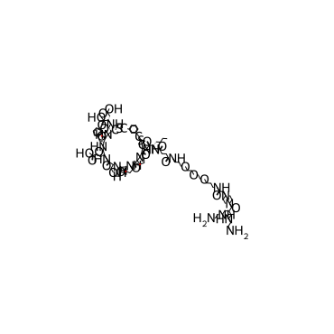 CCCC[C@H](NC(=O)CCC(=O)NCCCOCCOCCOCCCNC(=O)CN1CCN(C(=O)C(CNCCN)CNCCN)CC1)C(=O)N[C@H]1CSCc2cccc(c2)CSC[C@@H](C(=O)N[C@@H](CC(=O)O)C(=O)O)NC(=O)[C@H](Cc2ccccc2)NC(=O)[C@H](CCC(=O)O)NC(=O)[C@H]([C@@H](C)O)NC(=O)[C@@H]2CCCN2C(=O)[C@@H]2CCCN2C1=O